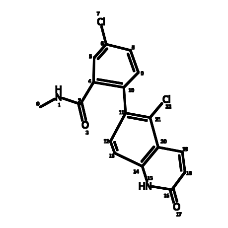 CNC(=O)c1cc(Cl)ccc1-c1ccc2[nH]c(=O)ccc2c1Cl